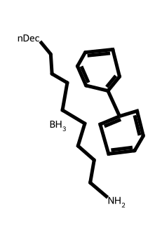 B.CCCCCCCCCCCCCCCCCCN.c1ccc(-c2ccccc2)cc1